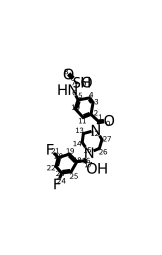 O=C(c1ccc(N[SH](=O)=O)cc1)N1CCN(C(O)c2cc(F)cc(F)c2)CC1